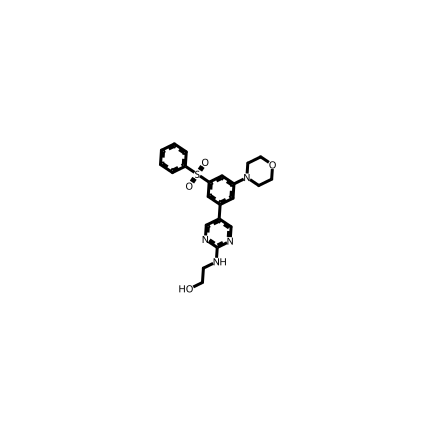 O=S(=O)(c1ccccc1)c1cc(-c2cnc(NCCO)nc2)cc(N2CCOCC2)c1